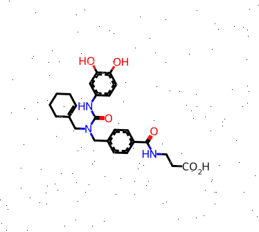 O=C(O)CCNC(=O)c1ccc(CN(CC2=CCCCC2)C(=O)Nc2ccc(O)c(O)c2)cc1